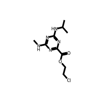 CNc1nc(NC(C)C)nc(C(=O)OCCCl)n1